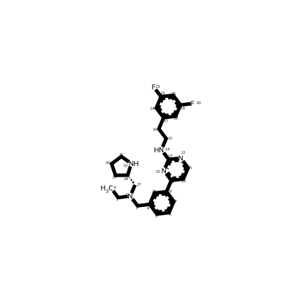 CCN(Cc1cccc(-c2ccnc(NCCc3cc(F)cc(F)c3)n2)c1)C[C@@H]1CCCN1